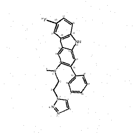 CN(CCn1ccnn1)c1cc2c(cc1-c1ccccc1)[nH]c1ccc(F)cc12